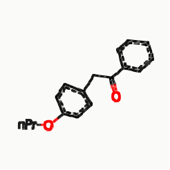 CCCOc1ccc(CC(=O)c2ccccc2)cc1